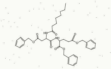 CCCCCCCC(=O)NC(CC(=O)OCc1ccccc1)C(=O)NC(CCC(=O)OCc1ccccc1)C(=O)OCc1ccccc1